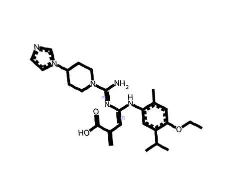 C=C(/C=C(\N=C(/N)N1CCC(n2ccnc2)CC1)Nc1cc(C(C)C)c(OCC)cc1C)C(=O)O